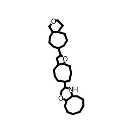 C1CCCC2NC(C3CCCC4CC(C5CCCC6CCOCC6CCC5)OC4CCC3)COC2CCC1